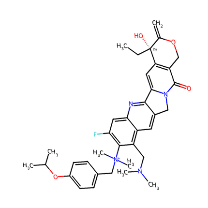 C=C1OCc2c(cc3n(c2=O)Cc2cc4c(CN(C)C)c([N+](C)(C)Cc5ccc(OC(C)C)cc5)c(F)cc4nc2-3)[C@@]1(O)CC